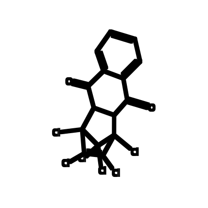 O=C1c2ccccc2C(=O)C2C1C1(Cl)C(Cl)=C(Cl)C2(Cl)C1(Cl)Cl